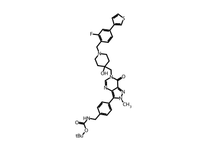 Cn1nc2c(=O)n(CC3(O)CCN(Cc4ccc(-c5ccsc5)cc4F)CC3)cnc2c1-c1ccc(CNC(=O)OC(C)(C)C)cc1